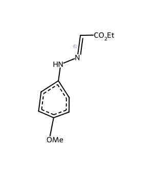 CCOC(=O)/C=N/Nc1ccc(OC)cc1